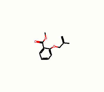 C=C(C)COc1ccccc1C(=O)OC